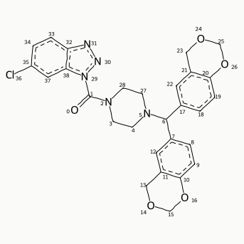 O=C(N1CCN(C(c2ccc3c(c2)COCO3)c2ccc3c(c2)COCO3)CC1)n1nnc2ccc(Cl)cc21